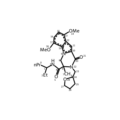 CCCC(CC)NC(=O)C1(C)Cn2c(cc3c(OC)ccc(OC)c32)C(=O)N1CC1CCCO1